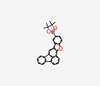 CC1(C)OB(c2ccc3oc4c5cccc6c5c(cc4c3c2)-c2ccccc2-6)OC1(C)C